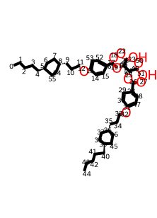 CCCCC[C@H]1CC[C@H](CCCOc2ccc(C(=O)O[C@@H](C(=O)O)[C@@H](OC(=O)c3ccc(OCCC[C@H]4CC[C@H](CCCCC)CC4)cc3)C(=O)O)cc2)CC1